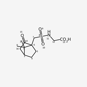 CC1(C)C2CCC1(CS(=O)(=O)NCC(=O)O)C(=O)C2